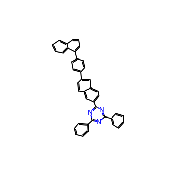 c1ccc(-c2nc(-c3ccccc3)nc(-c3ccc4cc(-c5ccc(-c6cccc7ccccc67)cc5)ccc4c3)n2)cc1